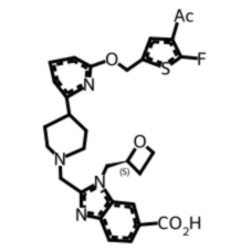 CC(=O)c1cc(COc2cccc(C3CCN(Cc4nc5ccc(C(=O)O)cc5n4C[C@@H]4CCO4)CC3)n2)sc1F